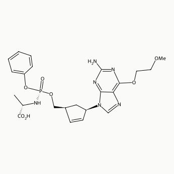 COCCOc1nc(N)nc2c1ncn2[C@H]1C=C[C@@H](CO[P@@](=O)(N[C@@H](C)C(=O)O)Oc2ccccc2)C1